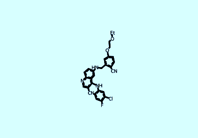 CCOCCOc1ccc(C#N)c(CNc2ccc3ncc(C#N)c(Nc4ccc(F)c(Cl)c4)c3c2)c1